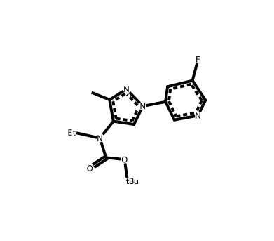 CCN(C(=O)OC(C)(C)C)c1cn(-c2cncc(F)c2)nc1C